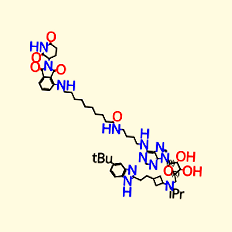 CC(C)N(C[C@H]1O[C@@H](n2cnc3c(NCCCCNC(=O)CCCCCCCCCNc4cccc5c4C(=O)N(C4CCC(=O)NC4=O)C5=O)ncnc32)C(O)C1O)C1CC(CCc2nc3cc(C(C)(C)C)ccc3[nH]2)C1